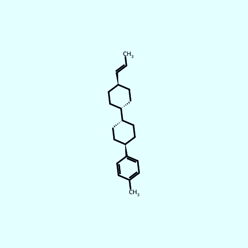 CC=C[C@H]1CC[C@H]([C@H]2CC[C@H](c3ccc(C)cc3)CC2)CC1